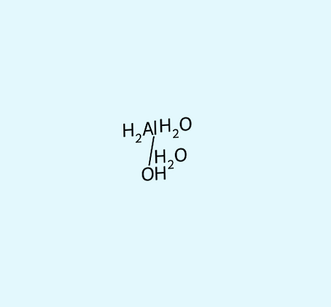 O.O.[OH][AlH2]